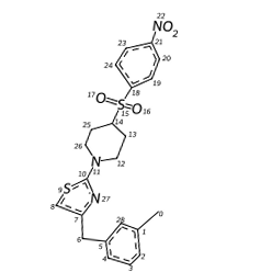 Cc1cccc(Cc2csc(N3CCC(S(=O)(=O)c4ccc([N+](=O)[O-])cc4)CC3)n2)c1